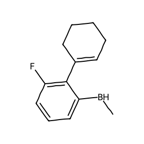 CBc1cccc(F)c1C1=CCCCC1